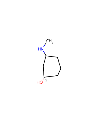 CNC1CCC[C@H](O)C1